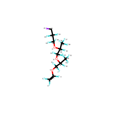 FC(F)=C(F)OC(F)(F)C(F)(OC(F)(F)C(F)(OC(F)(F)C(F)(F)CI)C(F)(F)F)C(F)(F)F